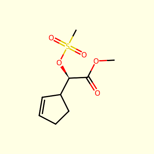 COC(=O)[C@H](OS(C)(=O)=O)C1C=CCC1